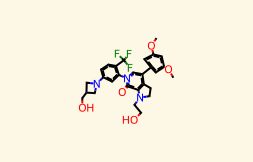 COc1cc(OC)cc(-c2cn(-c3cc(N4CC(CO)C4)ccc3C(F)(F)F)c(=O)c3c2CCN3CCO)c1